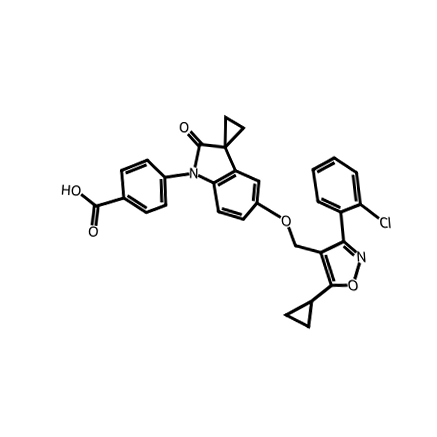 O=C(O)c1ccc(N2C(=O)C3(CC3)c3cc(OCc4c(-c5ccccc5Cl)noc4C4CC4)ccc32)cc1